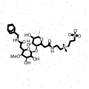 CO[C@@H]1C(CC(=O)NCC2CC3C=CC2C3)O[C@@H](O[C@@H]2C(CC(=O)NCC[N+](C)(C)CCCS(=O)(=O)[O-])O[C@@H](C)C(O)[C@H]2O)C(O)[C@H]1O